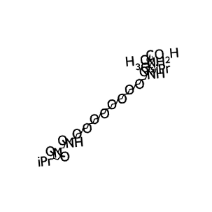 CC(C)C1CC(=O)N(CCC(=O)NCCOCCOCCOCCOCCOCCOCCOCCOCCC(=O)N[C@H](C(=O)N[C@@H](C)C(=O)O)C(C)C)C1=O